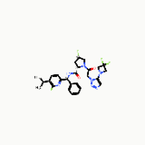 CC(C)c1ccc([C@@H](NC(=O)[C@@H]2C[C@@H](F)CN2C(=O)Cn2nncc2N2CC(F)(F)C2)c2ccccc2)nc1F